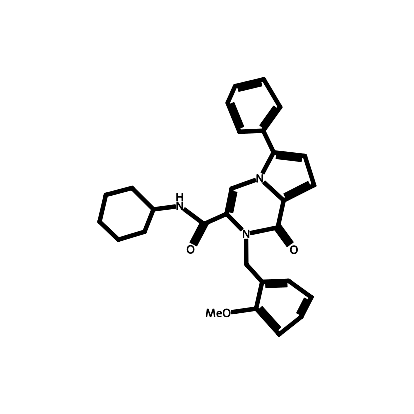 COc1ccccc1Cn1c(C(=O)NC2CCCCC2)cn2c(-c3ccccc3)ccc2c1=O